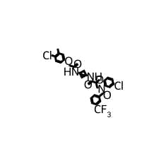 Cc1cc(OCC(=O)NC23CC(NC(=O)C4CN(C(=O)c5cccc(C(F)(F)F)c5)c5cc(Cl)ccc5O4)(C2)C3)ccc1Cl